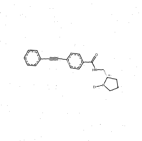 CCN1CCC[C@H]1CNC(=O)c1ccc(C#Cc2ccccc2)cc1